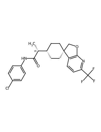 C[C@@H](C(=O)Nc1ccc(Cl)cc1)[C@H]1CC[C@]2(CC1)COc1nc(C(F)(F)F)ccc12